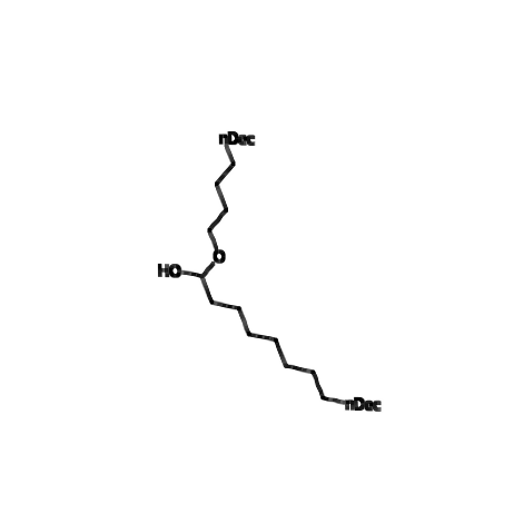 CCCCCCCCCCCCCCCCCC(O)OCCCCCCCCCCCCCC